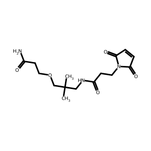 CC(C)(CNC(=O)CCN1C(=O)C=CC1=O)COCCC(N)=O